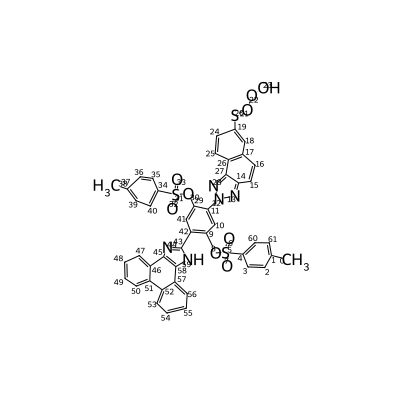 Cc1ccc(S(=O)(=O)Oc2cc(-n3nc4ccc5cc(SOOO)ccc5c4n3)c(OS(=O)(=O)c3ccc(C)cc3)cc2-c2nc3c4ccccc4c4ccccc4c3[nH]2)cc1